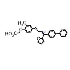 Cc1cc(SC/C=C(/c2ccc(-c3ccccc3)cc2)c2ccco2)ccc1OCC(=O)O